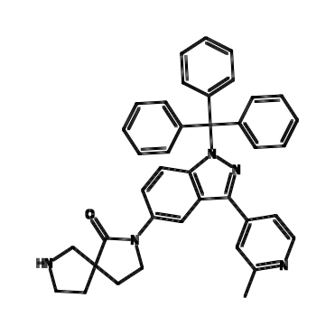 Cc1cc(-c2nn(C(c3ccccc3)(c3ccccc3)c3ccccc3)c3ccc(N4CCC5(CCNC5)C4=O)cc23)ccn1